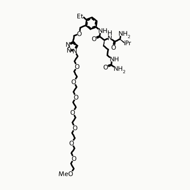 CCc1ccc(NC(=O)[C@H](CCCNC(N)=O)NC(=O)[C@@H](N)C(C)C)cc1COCc1cn(CCOCCOCCOCCOCCOCCOCCOCCOC)nn1